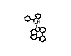 c1ccc(-c2nc(-n3c4cccc5c4c4c6c(cccc6ccc43)-c3ccccc3-5)nc3ccccc23)cc1